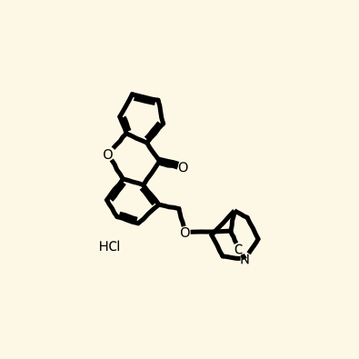 Cl.O=c1c2ccccc2oc2cccc(COC3CN4CCC3CC4)c12